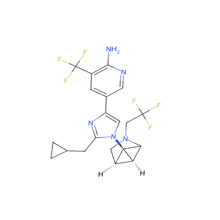 Nc1ncc(-c2cn([C@@]34C5[C@H]3[C@H]4CN5CC(F)(F)F)c(CC3CC3)n2)cc1C(F)(F)F